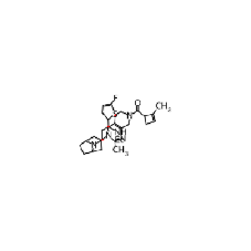 CCN[C@@H](CCN1C2CCC1CC(N1CC3=C(CN(C(=O)C4CC=C4C)CC3)N=C1C)C2)C1CC=C(F)S1